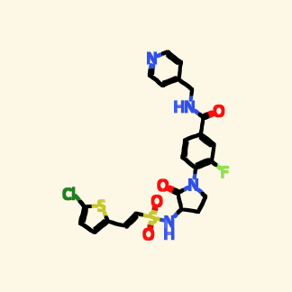 O=C(NCc1ccncc1)c1ccc(N2CCC(NS(=O)(=O)/C=C/c3ccc(Cl)s3)C2=O)c(F)c1